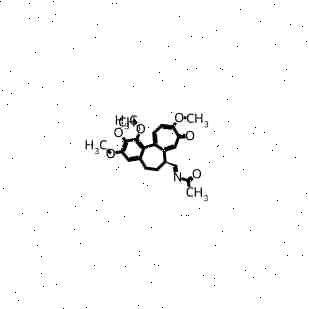 COc1cc2c(c(OC)c1OC)-c1ccc(OC)c(=O)cc1[C@@H](/C=N/C(C)=O)CC2